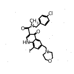 CN(Cc1ccc(Cl)cc1)C(=O)c1c[nH]c2c(I)cc(CN3CCOCC3)cc2c1=O